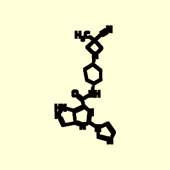 CC1(C#N)CN([C@H]2CC[C@@H](NC(=O)c3nc(-n4ccnc4)nc4cn[nH]c34)CC2)C1